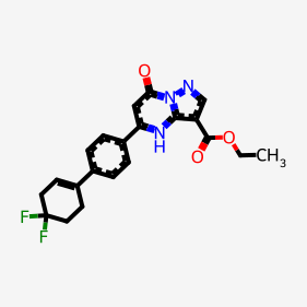 CCOC(=O)c1cnn2c(=O)cc(-c3ccc(C4=CCC(F)(F)CC4)cc3)[nH]c12